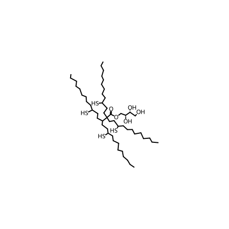 CCCCCCCCCC(S)CCC(CCC(S)CCCCCCCCC)C(CCC(S)CCCCCCCCC)(CCC(S)CCCCCCCCC)C(=O)OC[C@H](O)[C@H](O)CO